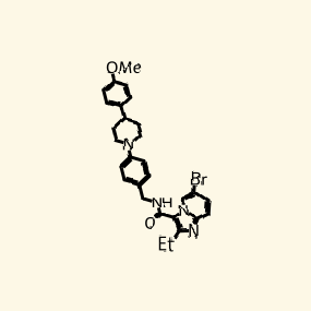 CCc1nc2ccc(Br)cn2c1C(=O)NCc1ccc(N2CCC(c3ccc(OC)cc3)CC2)cc1